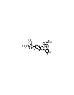 CC(=NC(=O)c1ccn2c3c(nc2c1)C[C@H](c1cc(F)c(F)cc1F)C(NC(=O)OC(C)(C)C)C3)N(C)C